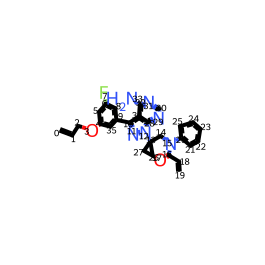 C=CCOc1cc(F)cc(-c2nn(C3(CN(C(=O)C=C)c4ccccc4)CC3)c3ncnc(N)c23)c1